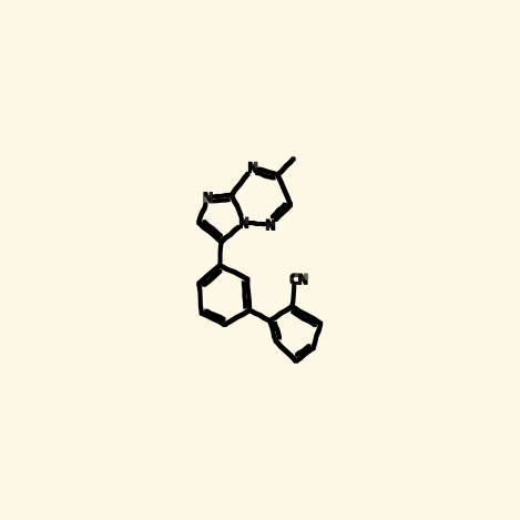 Cc1cnn2c(-c3cccc(-c4ccccc4C#N)c3)cnc2n1